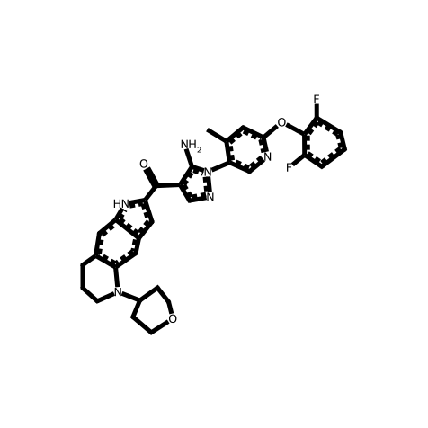 Cc1cc(Oc2c(F)cccc2F)ncc1-n1ncc(C(=O)c2cc3cc4c(cc3[nH]2)CCCN4C2CCOCC2)c1N